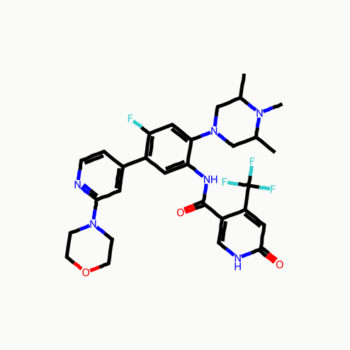 CC1CN(c2cc(F)c(-c3ccnc(N4CCOCC4)c3)cc2NC(=O)c2c[nH]c(=O)cc2C(F)(F)F)CC(C)N1C